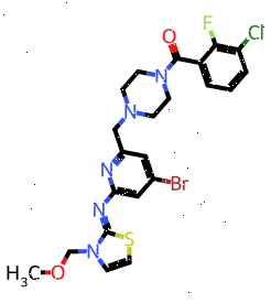 COCn1ccs/c1=N\c1cc(Br)cc(CN2CCN(C(=O)c3cccc(Cl)c3F)CC2)n1